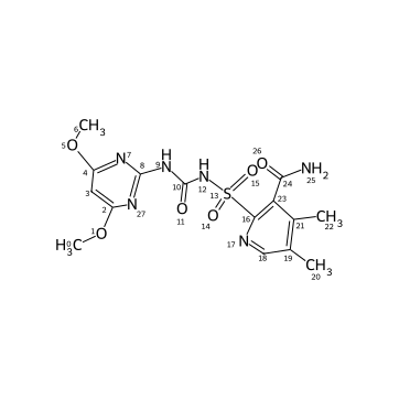 COc1cc(OC)nc(NC(=O)NS(=O)(=O)c2ncc(C)c(C)c2C(N)=O)n1